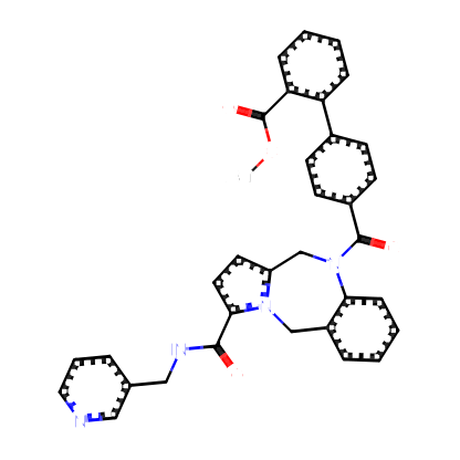 CC(C)(C)OC(=O)c1ccccc1-c1ccc(C(=O)N2Cc3ccc(C(=O)NCc4cccnc4)n3Cc3ccccc32)cc1